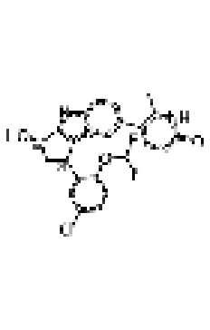 Cc1[nH]c(=O)ccc1-c1ccc2nc3c(n2c1)[C@@H](c1cc(Cl)ccc1OC(F)F)C[C@H]3O